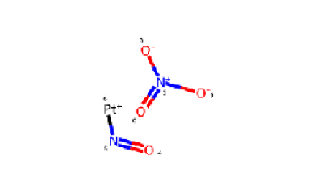 O=[N+]([O-])[O-].O=[N][Pt+]